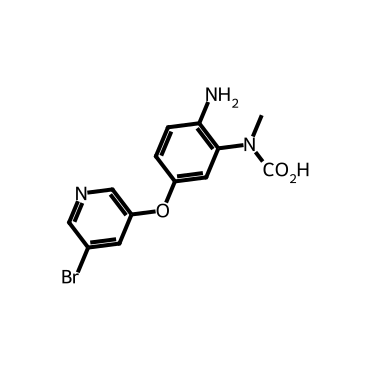 CN(C(=O)O)c1cc(Oc2cncc(Br)c2)ccc1N